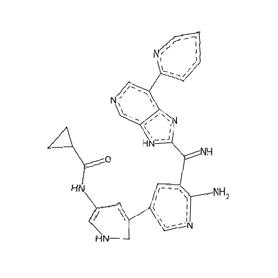 N=C(c1nc2c(-c3ccccn3)cncc2[nH]1)c1cc(C2=CC(NC(=O)C3CC3)=CNC2)cnc1N